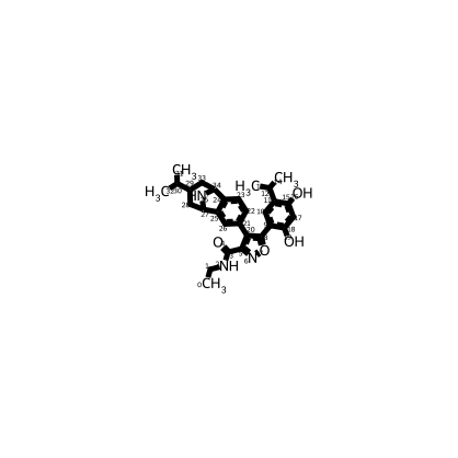 CCNC(=O)c1noc(-c2cc(C(C)C)c(O)cc2O)c1-c1ccc2c(c1)C1CC(C(C)C)CC2N1